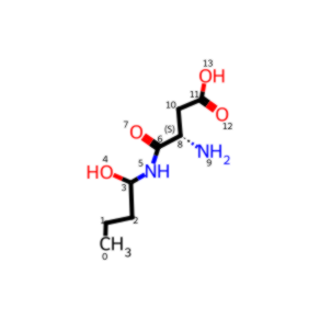 CCCC(O)NC(=O)[C@@H](N)CC(=O)O